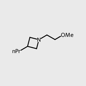 CCCC1CN(CCOC)C1